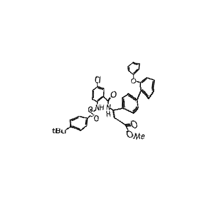 COC(=O)CC(NC(=O)c1cc(Cl)ccc1NS(=O)(=O)c1ccc(C(C)(C)C)cc1)c1ccc(-c2ccccc2Oc2ccccc2)cc1